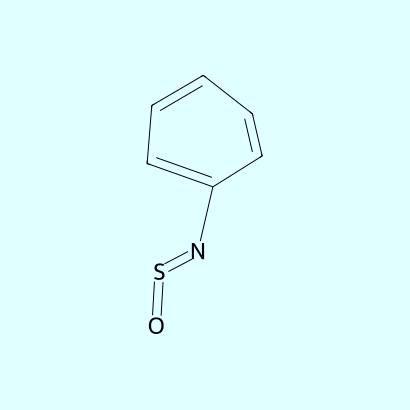 O=S=Nc1ccccc1